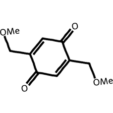 COCC1=CC(=O)C(COC)=CC1=O